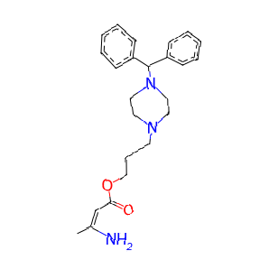 C/C(N)=C/C(=O)OCCCN1CCN(C(c2ccccc2)c2ccccc2)CC1